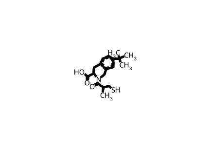 CC(CS)C(=O)N1Cc2cc(C(C)(C)C)ccc2CC1C(=O)O